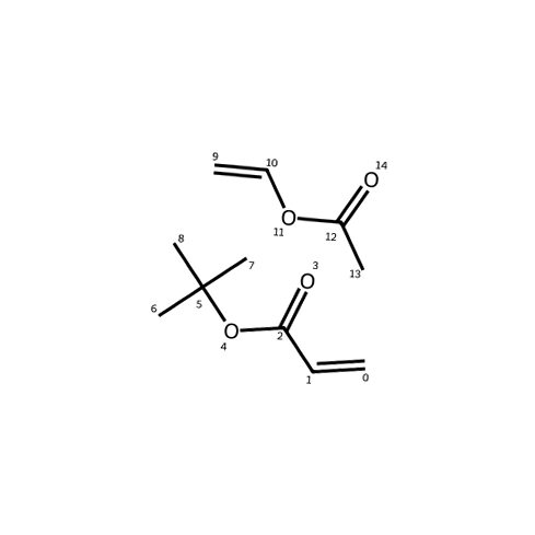 C=CC(=O)OC(C)(C)C.C=COC(C)=O